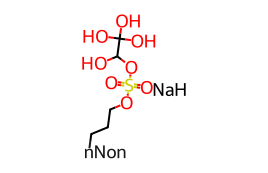 CCCCCCCCCCCCOS(=O)(=O)OC(O)C(O)(O)O.[NaH]